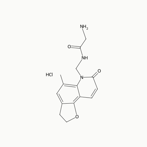 Cc1cc2c(c3ccc(=O)n(CNC(=O)CN)c13)OCC2.Cl